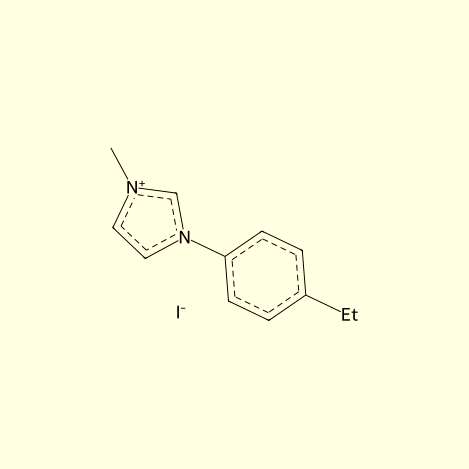 CCc1ccc(-n2cc[n+](C)c2)cc1.[I-]